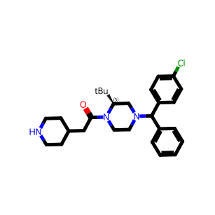 CC(C)(C)[C@H]1CN(C(c2ccccc2)c2ccc(Cl)cc2)CCN1C(=O)CC1CCNCC1